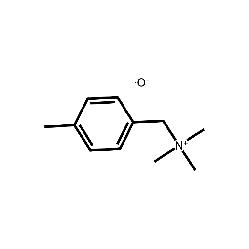 Cc1ccc(C[N+](C)(C)C)cc1.[O-]